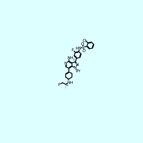 CC(C)n1nc(-c2ccc(NS(=O)(=O)c3ccccc3Cl)c(F)c2)c2c(N)ncc(C3=CC[C@@H](N[C@H](C)CF)CC3)c21